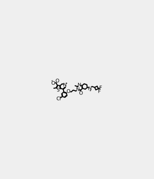 COC(=O)c1c(C)sc2c1CN(C)C=C2c1cc(Cl)ccc1OCCCn1c(C)nc2c(c1=O)CC(N(C)CC1CC(F)(F)C1)CC2